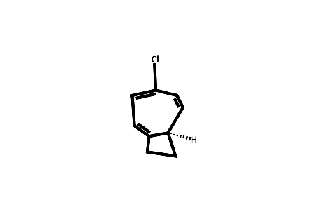 ClC1=CC=C2CC[C@@H]2C=C1